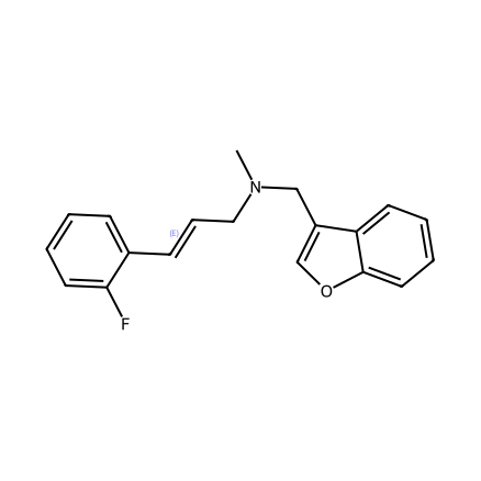 CN(C/C=C/c1ccccc1F)Cc1coc2ccccc12